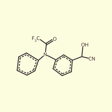 N#CC(O)c1cccc(N(C(=O)C(F)(F)F)c2ccccc2)c1